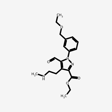 CCOCc1cccc(-n2nc(C(=O)OCC)c(CCNC)c2C=O)c1